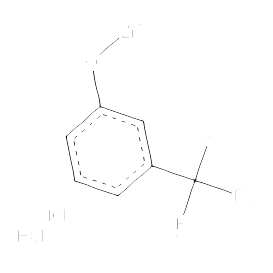 Cl.Cl.FC(F)(F)c1cccc([O][Zr])c1